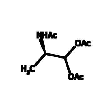 CC(=O)N[C@H](C)C(OC(C)=O)OC(C)=O